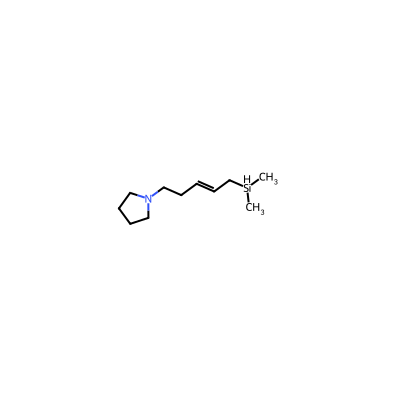 C[SiH](C)CC=CCCN1CCCC1